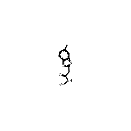 CCCNC(=O)Cc1nc2cc(C)ccc2o1